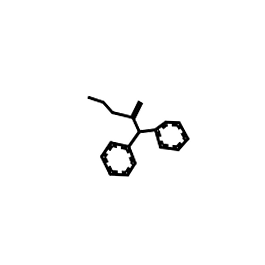 C=C(CCC)C(c1ccccc1)c1ccccc1